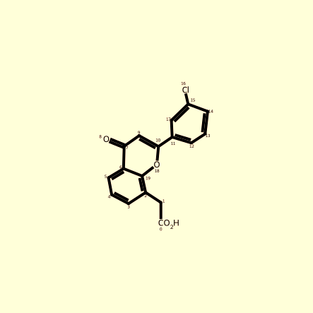 O=C(O)Cc1cccc2c(=O)cc(-c3cccc(Cl)c3)oc12